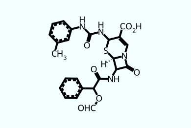 Cc1cccc(NC(=O)NC2S[C@@H]3C(NC(=O)C(OC=O)c4ccccc4)C(=O)N3C=C2C(=O)O)c1